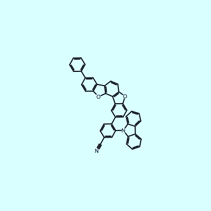 N#Cc1ccc(-c2ccc3oc4ccc5c6cc(-c7ccccc7)ccc6oc5c4c3c2)c(-n2c3ccccc3c3ccccc32)c1